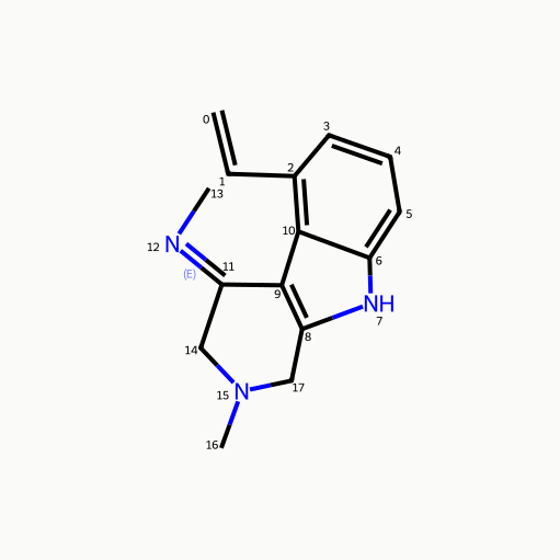 C=Cc1cccc2[nH]c3c(c12)/C(=N\C)CN(C)C3